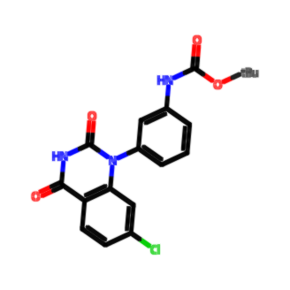 CC(C)(C)OC(=O)Nc1cccc(-n2c(=O)[nH]c(=O)c3ccc(Cl)cc32)c1